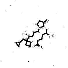 CC(CCCC(=O)O)C[C@H]1C(Cl)CCN1CCC[C@@H](O)C1(CC2CC2)CCC1